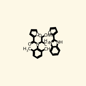 COC(=O)C(C)N(C(=O)c1ccco1)c1c(C)cccc1C.c1coc(-c2nc3ccccc3[nH]2)c1